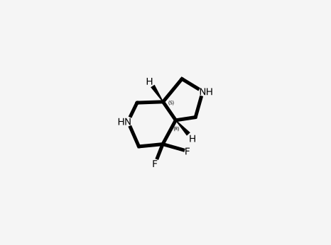 FC1(F)CNC[C@@H]2CNC[C@@H]21